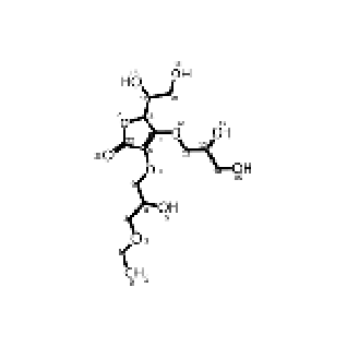 CCOCC(O)COC1=C(OCC(O)CO)C(C(O)CO)OC1=O